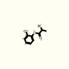 CC(Br)C(=O)Oc1ccccc1Cl